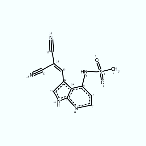 CS(=O)(=O)Nc1ccnc2[nH]cc(C=C(C#N)C#N)c12